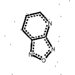 [c]1ccnc2nonc12